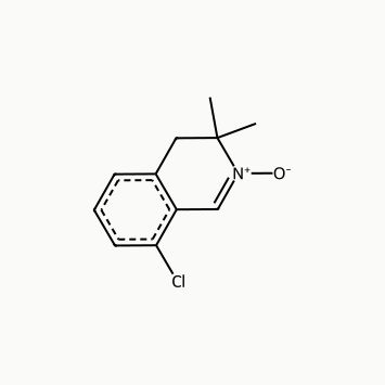 CC1(C)Cc2cccc(Cl)c2C=[N+]1[O-]